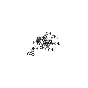 C=CCOC(=O)O[C@@H]1[C@@H](OC(=O)OCC=C)[C@H](Oc2ccc(CO)cc2NC(=O)CCNC(=O)[C@H](CCCCNC(=O)OCC2c3ccccc3-c3ccccc32)NC(=O)OC(C)(C)C)O[C@H](C(=O)OCC=C)[C@H]1OC(=O)OCC=C